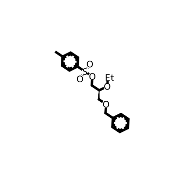 CCO[C@@H](COCc1ccccc1)COS(=O)(=O)c1ccc(C)cc1